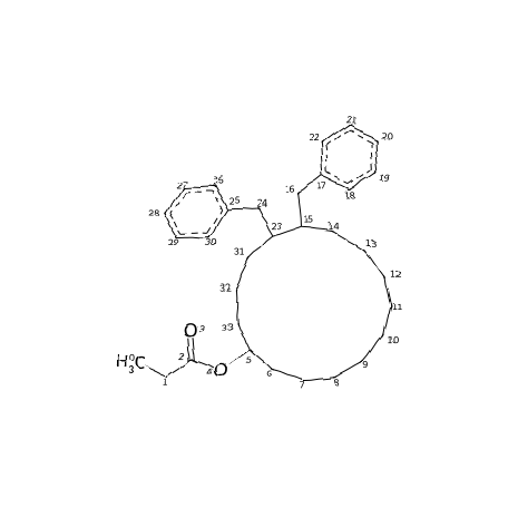 CCC(=O)OC1CCCCCCCCCC(Cc2ccccc2)C(Cc2ccccc2)CCC1